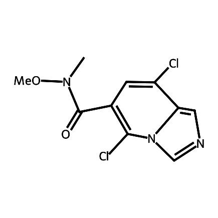 CON(C)C(=O)c1cc(Cl)c2cncn2c1Cl